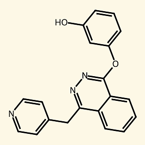 Oc1cccc(Oc2nnc(Cc3ccncc3)c3ccccc23)c1